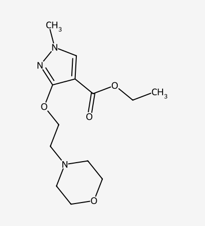 CCOC(=O)c1cn(C)nc1OCCN1CCOCC1